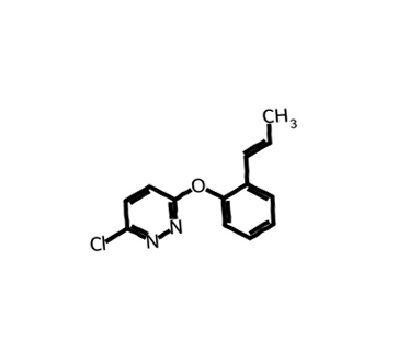 CC=Cc1ccccc1Oc1ccc(Cl)nn1